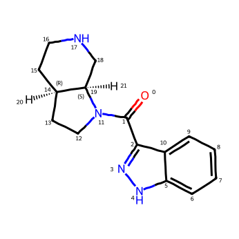 O=C(c1n[nH]c2ccccc12)N1CC[C@H]2CCNC[C@H]21